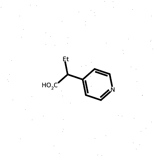 CCC(C(=O)O)c1ccncc1